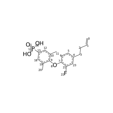 C=CCCc1ccc(Oc2c(C)cc(P(=O)(O)O)cc2C)c(F)c1